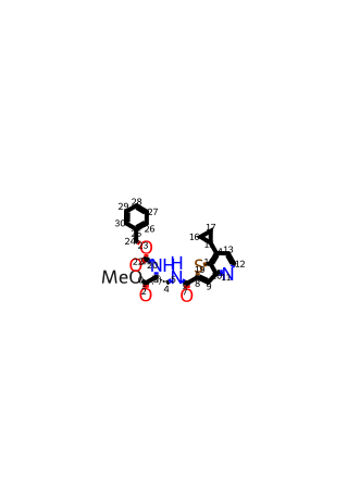 COC(=O)[C@@H](CNC(=O)c1cc2nccc(C3CC3)c2s1)NC(=O)OCc1ccccc1